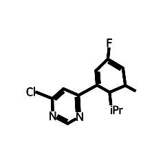 CC(C)C1C(c2cc(Cl)ncn2)=CC(F)=CC1C